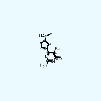 C[AsH]C1CCN(c2nc(N)nc(C)c2F)C1